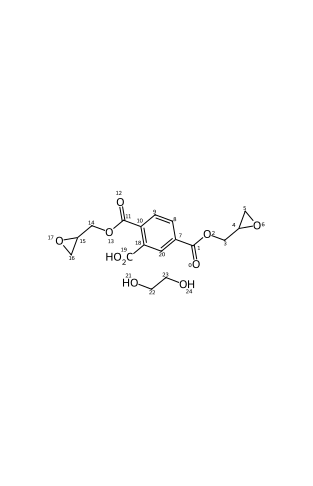 O=C(OCC1CO1)c1ccc(C(=O)OCC2CO2)c(C(=O)O)c1.OCCO